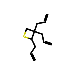 C=CCC1SCC1(CC=C)CC=C